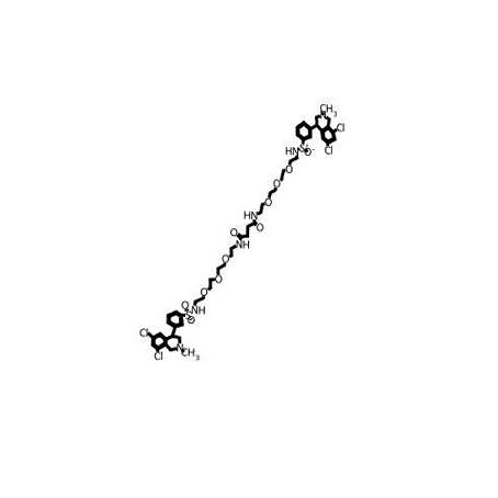 CN1Cc2c(Cl)cc(Cl)cc2C(c2cccc([S+]([O-])NCCOCCOCCOCCNC(=O)CCC(=O)NCCOCCOCCOCCNS(=O)(=O)c3cccc(C4CN(C)Cc5c(Cl)cc(Cl)cc54)c3)c2)C1